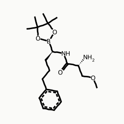 COC[C@@H](N)C(=O)N[C@@H](CCCc1ccccc1)B1OC(C)(C)C(C)(C)O1